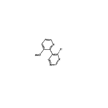 CCc1ncn[c]c1-c1ncccc1OC